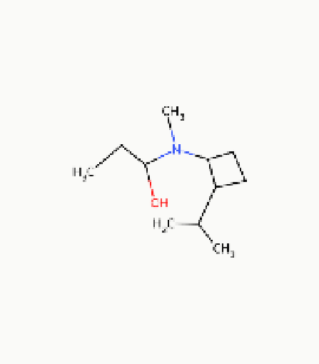 CCC(O)N(C)C1CCC1C(C)C